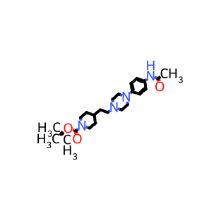 CC(=O)Nc1ccc(N2CCN(CCC3CCN(C(=O)OC(C)(C)C)CC3)CC2)cc1